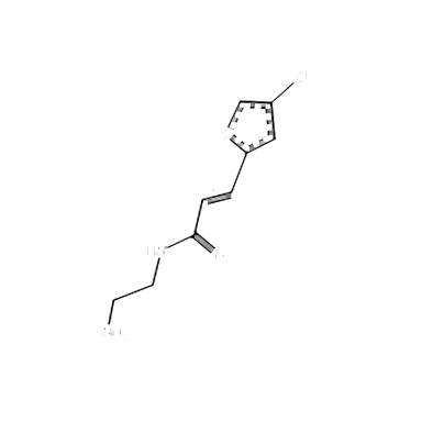 NCCNC(=O)/C=C/c1cc(Cl)cs1